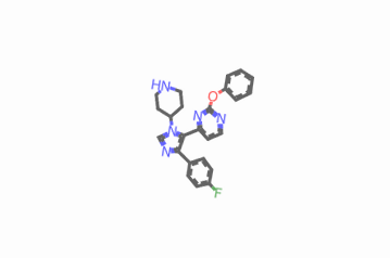 Fc1ccc(-c2ncn(C3CCNCC3)c2-c2ccnc(Oc3ccccc3)n2)cc1